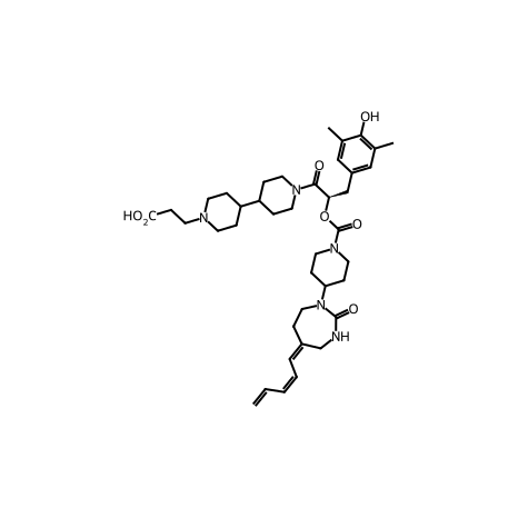 C=C/C=C\C=C1\CCN(C2CCN(C(=O)O[C@H](Cc3cc(C)c(O)c(C)c3)C(=O)N3CCC(C4CCN(CCC(=O)O)CC4)CC3)CC2)C(=O)NC1